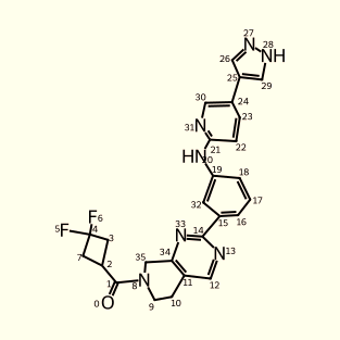 O=C(C1CC(F)(F)C1)N1CCc2cnc(-c3cccc(Nc4ccc(-c5cn[nH]c5)cn4)c3)nc2C1